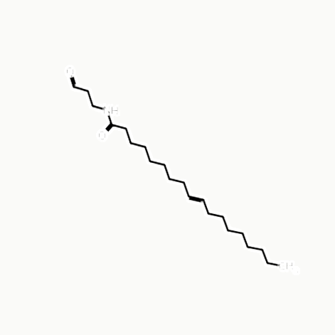 CCCCCCCCC=CCCCCCCCC(=O)NCCC=O